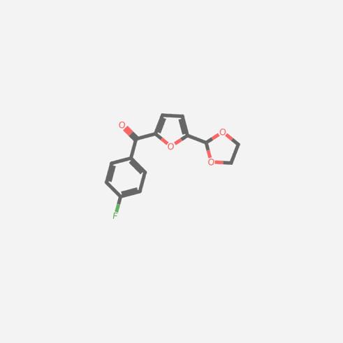 O=C(c1ccc(F)cc1)c1ccc(C2OCCO2)o1